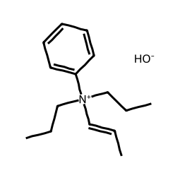 CC=C[N+](CCC)(CCC)c1ccccc1.[OH-]